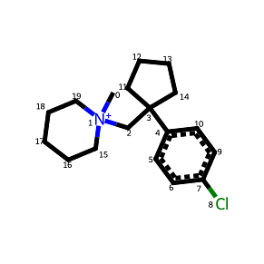 C[N+]1(CC2(c3ccc(Cl)cc3)CCCC2)CCCCC1